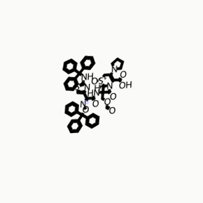 O=COCC1(NC(=O)/C(=N\OC(c2ccccc2)(c2ccccc2)c2ccccc2)c2csc(NC(c3ccccc3)(c3ccccc3)c3ccccc3)n2)C(=O)N2C(C(=O)O)=C(N3CCCC3)C[S+]([O-])[C@H]21